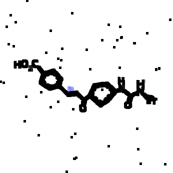 CC(C)NC(=O)Nc1ccc(C(=O)/C=C/c2ccc(C(=O)O)cc2)cc1